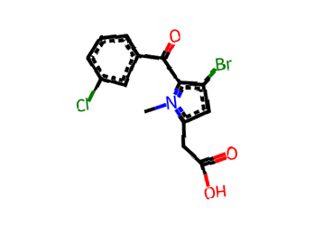 Cn1c(CC(=O)O)cc(Br)c1C(=O)c1cccc(Cl)c1